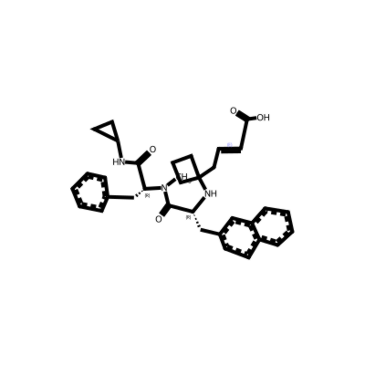 CN(C(=O)[C@@H](Cc1ccc2ccccc2c1)NC1(C/C=C/C(=O)O)CCC1)[C@H](Cc1ccccc1)C(=O)NC1CC1